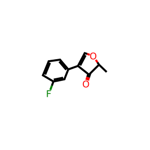 CC1OC=C(c2cccc(F)c2)C1=O